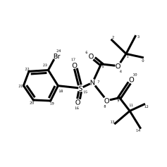 CC(C)(C)OC(=O)N(OC(=O)C(C)(C)C)S(=O)(=O)c1ccccc1Br